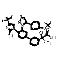 Cc1nc(C(F)(F)F)cn1-c1ccc(-c2cccc(C(C)(C)C(=O)O)c2)cc1-n1nncc1-c1ccc(OC(F)(F)F)cc1